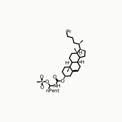 CCCCCC(NC(=O)O[C@H]1CC[C@@]2(C)C(=CC[C@H]3[C@@H]4CC[C@H]([C@H](C)CCCC(C)C)[C@@]4(C)CC[C@@H]32)C1)OS(C)(=O)=O